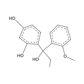 CCC(O)(c1ccc(O)cc1O)c1ccccc1OC